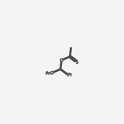 CC(=O)OC(OC(C)=S)C(C)C